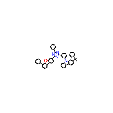 CC1(C)c2ccccc2-c2c1ccc1c3ccccc3n(-c3cccc(-c4nc(-c5ccccc5)nc(-c5ccc6c(c5)oc5c(-c7ccccc7)cccc56)n4)c3)c21